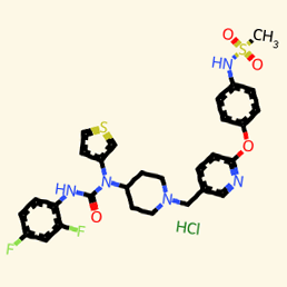 CS(=O)(=O)Nc1ccc(Oc2ccc(CN3CCC(N(C(=O)Nc4ccc(F)cc4F)c4ccsc4)CC3)cn2)cc1.Cl